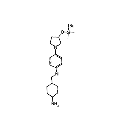 CC(C)(C)[Si](C)(C)OC1CCN(c2ccc(NCC3CCC(N)CC3)cc2)C1